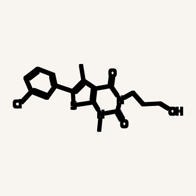 Cc1c(-c2cccc(Cl)c2)sc2c1c(=O)n(CCCO)c(=O)n2C